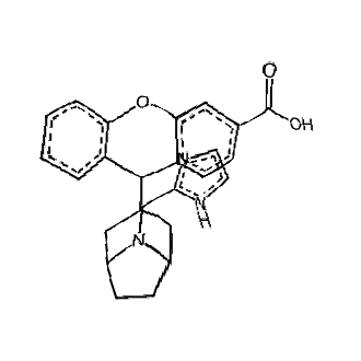 O=C(O)c1ccc2c(c1)Oc1ccccc1C2C1CC2CCC(C1)N2Cc1ncc[nH]1